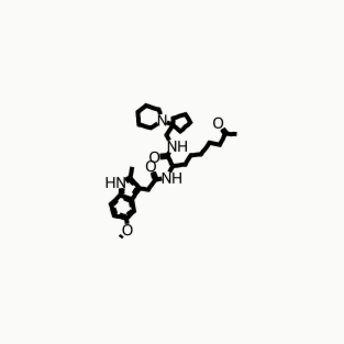 COc1ccc2[nH]c(C)c(CC(=O)NC(CCCCCC(C)=O)C(=O)NCC3(N4CCCCC4)CCCC3)c2c1